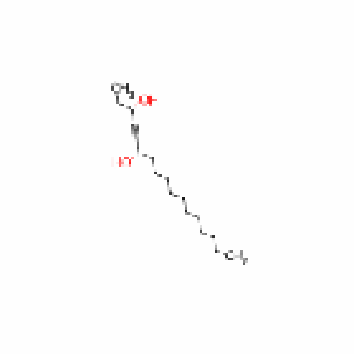 CCCCCCCCCCC[C@H](O)C#C[C@@H](O)CC